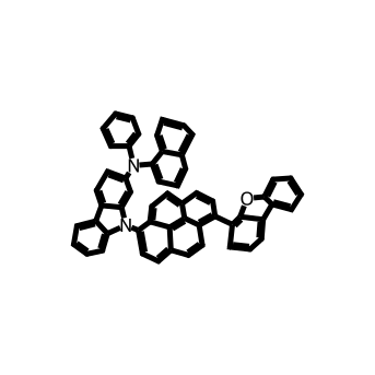 c1ccc(N(c2ccc3c4ccccc4n(-c4ccc5ccc6c(-c7cccc8c7oc7ccccc78)ccc7ccc4c5c76)c3c2)c2cccc3ccccc23)cc1